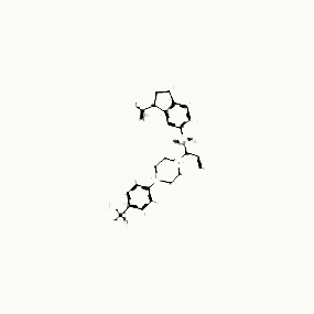 C=CC(N1CCN(c2ccc(C(F)(F)F)cc2)CC1)S(=O)(=O)c1ccc2c(c1)C(C(=O)O)CC2